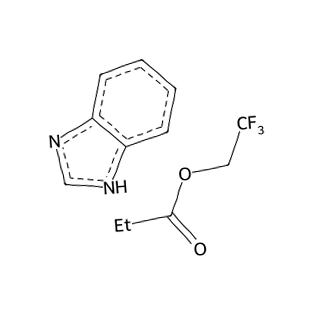 CCC(=O)OCC(F)(F)F.c1ccc2[nH]cnc2c1